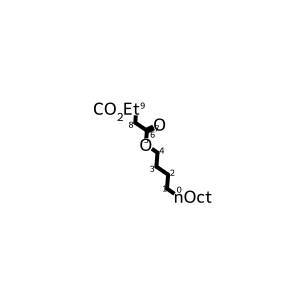 CCCCCCCCCCCCOC(=O)CC(=O)OCC